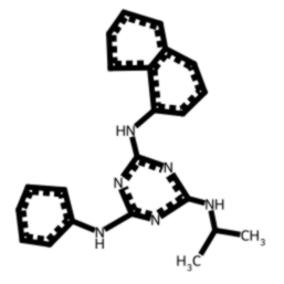 CC(C)Nc1nc(Nc2ccccc2)nc(Nc2cccc3ccccc23)n1